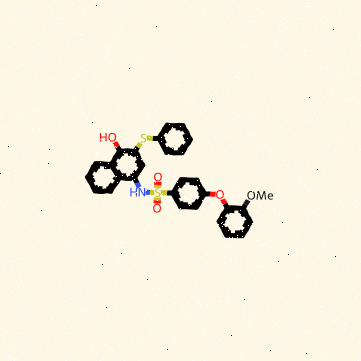 COc1ccccc1Oc1ccc(S(=O)(=O)Nc2cc(Sc3ccccc3)c(O)c3ccccc23)cc1